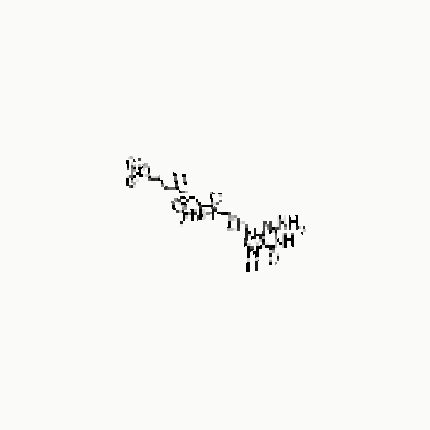 CC(=O)NC(CSC(=O)CCCO[N+](=O)[O-])C(=O)CCOCN1CNc2c1nc(N)[nH]c2=O